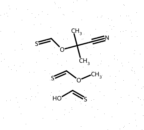 CC(C)(C#N)OC=S.COC=S.OC=S